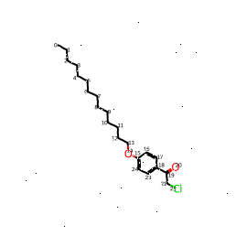 CCCCCCCCCCCCCCOc1ccc(C(=O)CCl)cc1